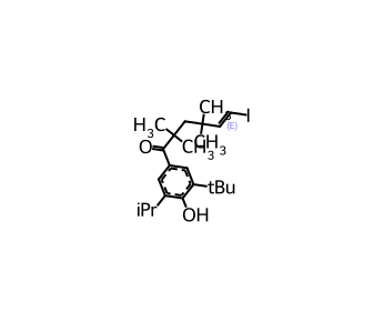 CC(C)c1cc(C(=O)C(C)(C)CC(C)(C)/C=C/I)cc(C(C)(C)C)c1O